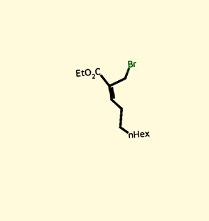 CCCCCCCC/C=C(\CBr)C(=O)OCC